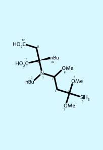 CCCCN(C(CC([SiH3])(OC)OC)OC)[C@@](CCCC)(CC(=O)O)C(=O)O